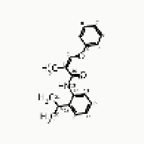 CC(=COc1ccccc1)C(=O)Nc1ccccc1C(C)C